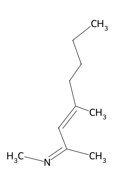 CCCC/C(C)=C/C(C)=N\C